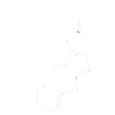 CCn1c(C(=O)c2ccc(Cl)cc2)cc2c1CC(=O)O2